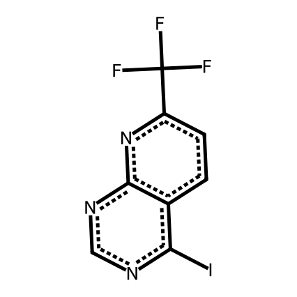 FC(F)(F)c1ccc2c(I)ncnc2n1